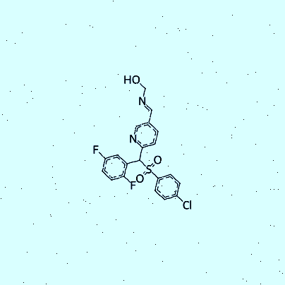 O=S(=O)(c1ccc(Cl)cc1)C(c1ccc(/C=N/CO)cn1)c1cc(F)ccc1F